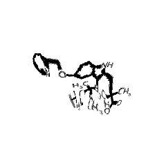 CC(C)(C)Sc1c(CC(C)(C)C(=O)O)[nH]c2ccc(OCc3ccccn3)cc12